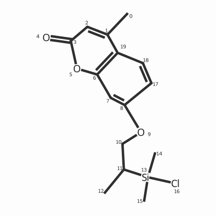 Cc1cc(=O)oc2cc(OCC(C)[Si](C)(C)Cl)ccc12